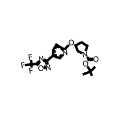 CC(C)(C)OC(=O)N1CC[C@H](Oc2ccc(-c3noc(C(F)(F)F)n3)cn2)C1